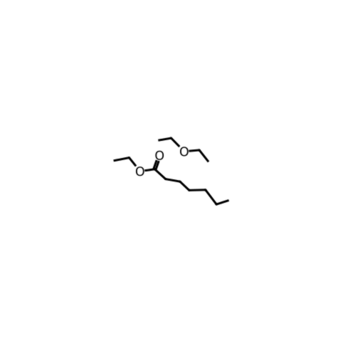 CCCCCCC(=O)OCC.CCOCC